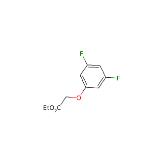 CCOC(=O)COc1cc(F)cc(F)c1